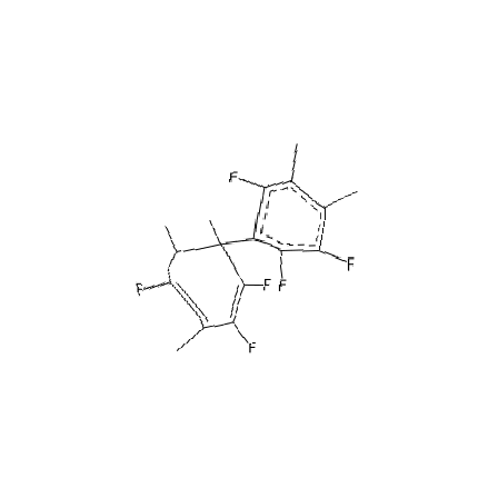 CC1=C(F)C(C)C(C)(c2c(F)c(C)c(C)c(F)c2F)C(F)=C1F